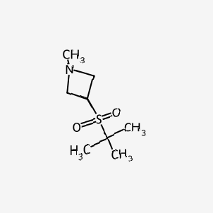 CN1CC(S(=O)(=O)C(C)(C)C)C1